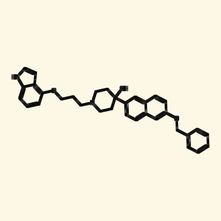 OC1(c2ccc3cc(OCc4ccccc4)ccc3c2)CCN(CCCOc2cccc3[nH]ccc23)CC1